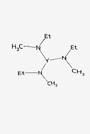 CC[N](C)[Y]([N](C)CC)[N](C)CC